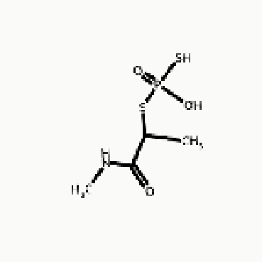 CNC(=O)C(C)SP(=O)(O)S